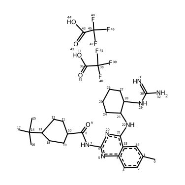 Cc1ccc2nc(NC(=O)C3CCC(C(C)(C)C)CC3)nc(NC3CCCCC3NC(=N)N)c2c1.O=C(O)C(F)(F)F.O=C(O)C(F)(F)F